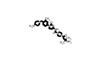 Cc1cc(-n2ccc(NC(=O)N3CCN(C(=O)CC(C)(C)N)CC3)nc2=O)ccc1CN1CCC(N)CC1